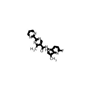 Cc1nc(-c2ncccn2)ncc1C(=O)Nn1cc(C)c2nc(F)ccc21